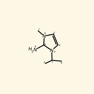 CC(C)N1C=CN(C)C1N